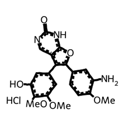 COc1ccc(-c2oc3[nH]c(=O)ncc3c2-c2cc(O)c(OC)c(OC)c2)cc1N.Cl